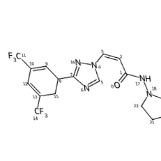 O=C(/C=C\n1cnc(C2C=C(C(F)(F)F)C=C(C(F)(F)F)C2)n1)NN1C=CCC1